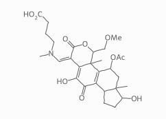 COCC1OC(=O)C(=CN(C)CCCC(=O)O)C2=C(O)C(=O)C3=C(C(OC(C)=O)CC4(C)C(O)CCC34)C21C